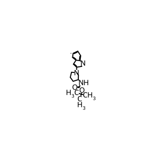 CC(C)(C)OC(=O)NC1CCCN(c2cnc3cc[c]cc3c2)C1